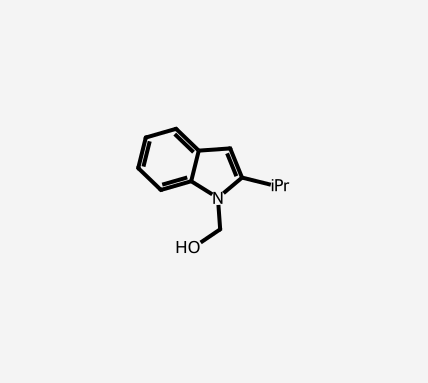 CC(C)c1cc2ccccc2n1CO